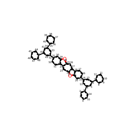 c1ccc(-c2cc(-c3ccccc3)cc(-c3ccc4c(c3)oc3cc5c(cc34)oc3cc(-c4cc(-c6ccccc6)cc(-c6ccccc6)c4)ccc35)c2)cc1